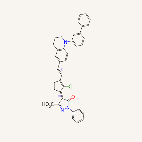 O=C(O)C1=NN(c2ccccc2)C(=O)/C1=C1/CCC(/C=C/c2ccc3c(c2)CCCN3c2cccc(-c3ccccc3)c2)=C1Cl